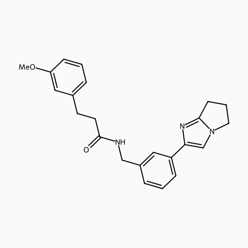 COc1cccc(CCC(=O)NCc2cccc(-c3cn4c(n3)CCC4)c2)c1